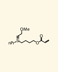 C=CC(=O)OCCCC[SiH](CCC)CCOC